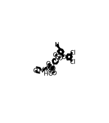 N#Cc1ccc(Oc2cc(Cl)cc(Cl)c2)c(S(=O)(=O)N2CCC(N(OP(=O)(O)O)C(=O)NCCN3CCOCC3)CC2)c1